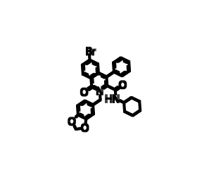 O=C(NC1CCCCC1)c1c(-c2ccccc2)c2cc(Br)ccc2c(=O)n1Cc1ccc2c(c1)OCO2